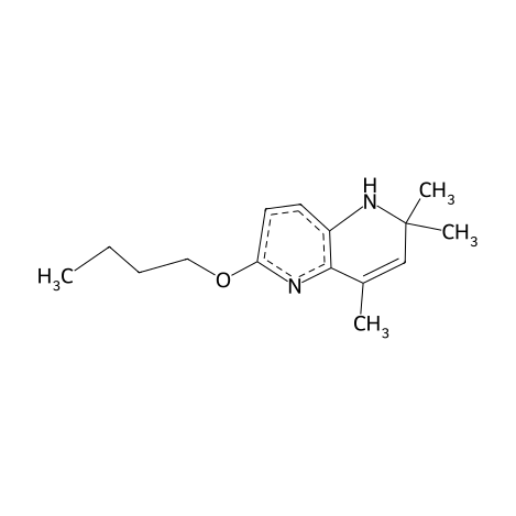 CCCCOc1ccc2c(n1)C(C)=CC(C)(C)N2